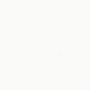 CCCc1cc(N2CC[C@H](NCCCSC)C2)nc(Nc2cccc(C#N)c2)n1